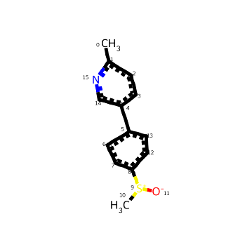 Cc1ccc(-c2[c]cc([S+](C)[O-])cc2)cn1